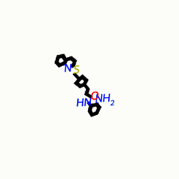 Nc1ccccc1NC(=O)C=Cc1ccc(CSc2ccc3ccccc3n2)cc1